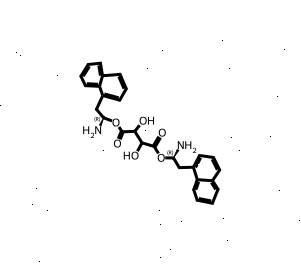 N[C@@H](Cc1cccc2ccccc12)OC(=O)C(O)C(O)C(=O)O[C@@H](N)Cc1cccc2ccccc12